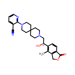 Cc1c([C@@H](O)CN2CCC3(CC2)CCN(c2ncccc2C#N)CC3)ccc2c1COC2=O